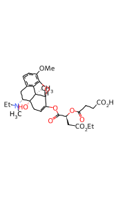 CCOC(=O)C[C@H](OC(=O)CCC(=O)O)C(=O)OC1=CC[C@@]2(O)[C@H](N(C)CC)Cc3ccc(OC)c4c3[C@@]2(C)[C@H]1O4